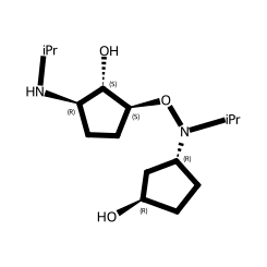 CC(C)N[C@@H]1CC[C@H](ON(C(C)C)[C@@H]2CC[C@@H](O)C2)[C@H]1O